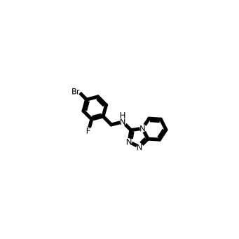 Fc1cc(Br)ccc1CNc1nnc2ccccn12